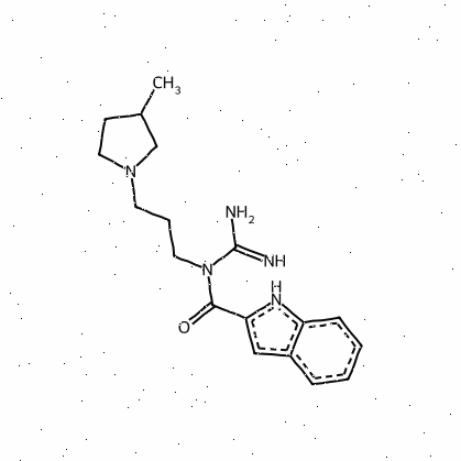 CC1CCN(CCCN(C(=N)N)C(=O)c2cc3ccccc3[nH]2)C1